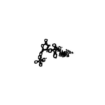 O=C1CCC(=O)O1.O=S(=O)([O-])[O-].O=S(=O)([O-])[O-].[Mg+2].[Mg+2]